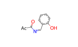 CC(=O)C(=O)/N=C\c1ccccc1O